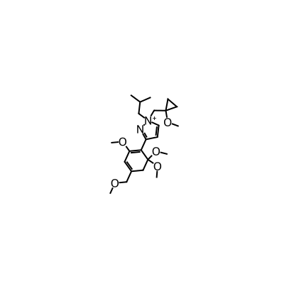 COCC1=CC(OC)=C(C2=N[N+](CC(C)C)(CC3(OC)CC3)C=C2)C(OC)(OC)C1